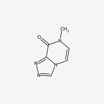 Cn1c[c]n2cnnc2c1=O